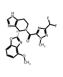 COc1cccc2oc([C@@H]3c4nc[nH]c4CCN3C(=O)c3nc(C(F)F)nn3C)nc12